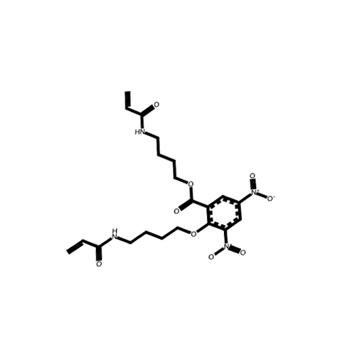 C=CC(=O)NCCCCOC(=O)c1cc([N+](=O)[O-])cc([N+](=O)[O-])c1OCCCCNC(=O)C=C